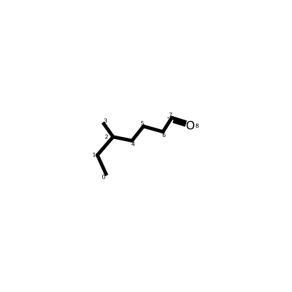 CCC(C)CCC[C]=O